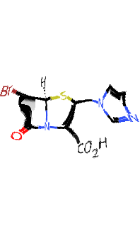 O=C(O)C1=C(n2ccnc2)S[C@@H]2C(Br)C(=O)N12